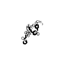 COc1ccc(Cn2cc(-c3cc(C(F)(F)F)nc(S(=O)(=O)CCC(=O)N4CCCCC4)n3)ccc2=O)cc1OC